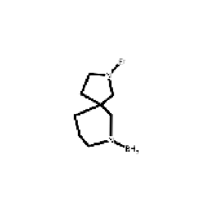 BN1CCCC2(CCN(CC)C2)C1